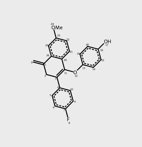 C=C1CC(c2ccc(F)cc2)=C(Oc2ccc(O)cc2)c2ccc(OC)cc21